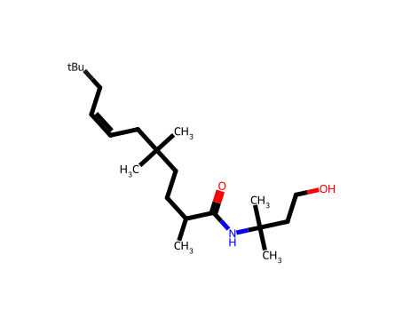 CC(CCC(C)(C)C/C=C\CC(C)(C)C)C(=O)NC(C)(C)CCO